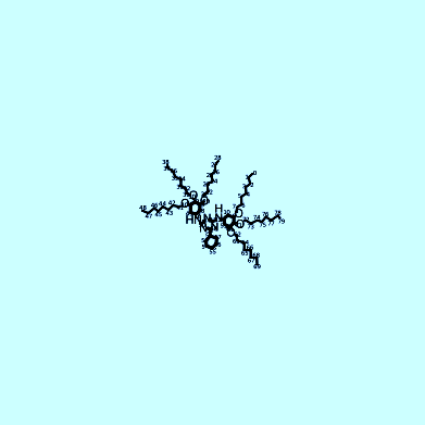 CCCCCCCCOc1cc(Nc2nc(Nc3cc(OCCCCCCCC)c(OCCCCCCCC)c(OCCCCCCCC)c3)nc(-c3cc[c]cc3)n2)cc(OCCCCCCCC)c1OCCCCCCCC